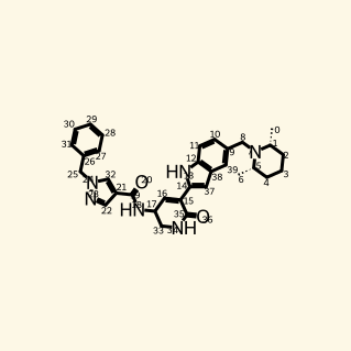 C[C@@H]1CCC[C@H](C)N1Cc1ccc2[nH]c(C3=CC(NC(=O)c4cnn(Cc5ccccc5)c4)CNC3=O)cc2c1